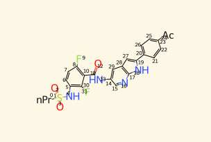 CCCS(=O)(=O)Nc1ccc(F)c(C(=O)Nc2cnc3[nH]c(-c4ccc(C(C)=O)cc4)cc3c2)c1F